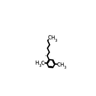 CCCCC[CH]c1cc(C)ccc1C